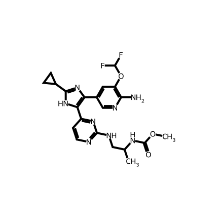 COC(=O)NC(C)CNc1nccc(-c2[nH]c(C3CC3)nc2-c2cnc(N)c(OC(F)F)c2)n1